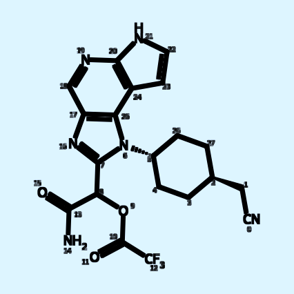 N#CC[C@H]1CC[C@H](n2c(C(OC(=O)C(F)(F)F)C(N)=O)nc3cnc4[nH]ccc4c32)CC1